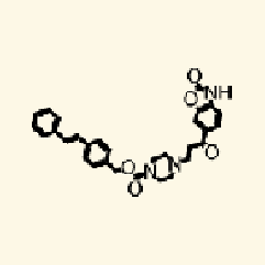 O=C(CCN1CCN(C(=O)OCc2ccc(/C=C/c3ccccc3)cc2)CC1)c1ccc2[nH]c(=O)oc2c1